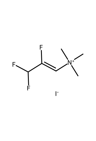 C[N+](C)(C)/C=C(\F)C(F)F.[I-]